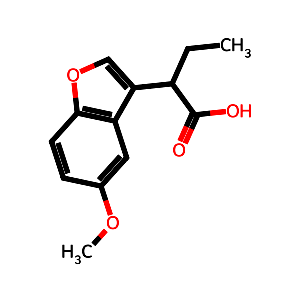 CCC(C(=O)O)c1coc2ccc(OC)cc12